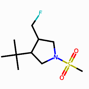 CC(C)(C)C1CN(S(C)(=O)=O)CC1CF